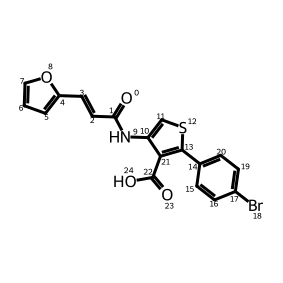 O=C(/C=C/c1ccco1)Nc1csc(-c2ccc(Br)cc2)c1C(=O)O